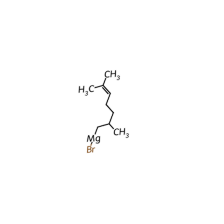 CC(C)=CCCC(C)[CH2][Mg][Br]